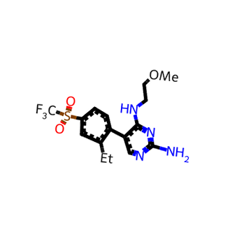 CCc1cc(S(=O)(=O)C(F)(F)F)ccc1-c1cnc(N)nc1NCCOC